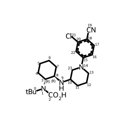 CC(C)(C)N(C(=O)O)[C@@H]1CCCC[C@H]1NC1CCCN(c2ccc(C#N)c(Cl)c2)C1